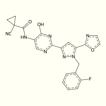 N#CC1(C(=O)Nc2cnc(-c3cc(-c4ncco4)n(Cc4ccccc4F)n3)nc2O)CC1